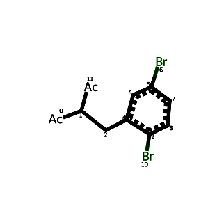 CC(=O)C(Cc1cc(Br)ccc1Br)C(C)=O